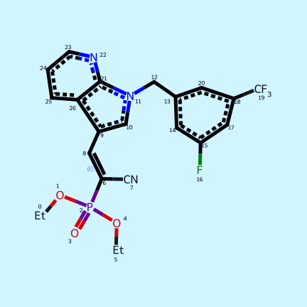 CCOP(=O)(OCC)/C(C#N)=C/c1cn(Cc2cc(F)cc(C(F)(F)F)c2)c2ncccc12